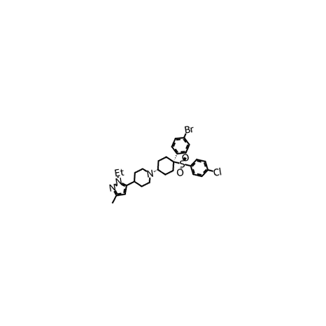 CCn1nc(C)cc1C1CCN([C@H]2CC[C@](c3ccc(Br)cc3)(S(=O)(=O)c3ccc(Cl)cc3)CC2)CC1